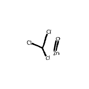 ClC(Cl)Cl.[O]=[Zn]